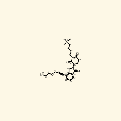 C[Si](C)(C)CCOCN1C(=O)CCC(N2Cc3c(C#CCOCCBr)cccc3C2=O)C1=O